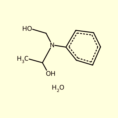 CC(O)N(CO)c1ccccc1.O